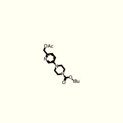 CC(=O)OCc1ccc(N2CCN(C(=O)OC(C)(C)C)CC2)cn1